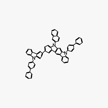 c1ccc(-c2ccc(-n3c4ccccc4c4cc(-c5ccc6c(c5)c5cc7c8ccccc8n(-c8ccc(-c9ccccc9)cc8)c7cc5n6-c5ccc6ccccc6c5)ccc43)cc2)cc1